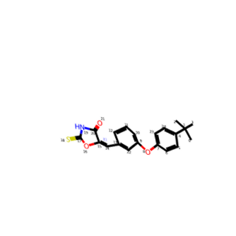 CC(C)(C)c1ccc(Oc2cccc(/C=C3/OC(=S)NC3=O)c2)cc1